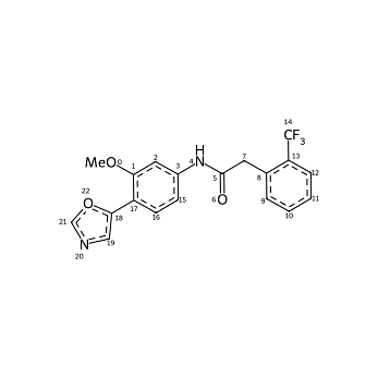 COc1cc(NC(=O)Cc2ccccc2C(F)(F)F)ccc1-c1cnco1